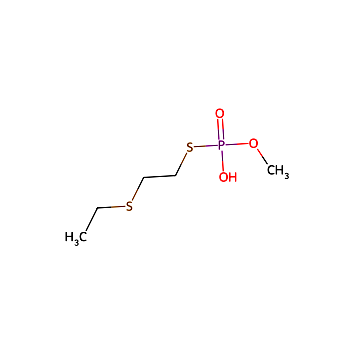 CCSCCSP(=O)(O)OC